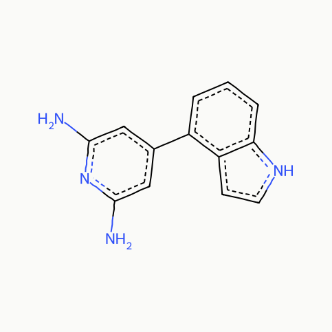 Nc1cc(-c2cccc3[nH]ccc23)cc(N)n1